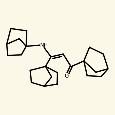 O=C(C=C(NC12CCC(CC1)C2)C12CCC(CC1)C2)C12CCC(CC1)C2